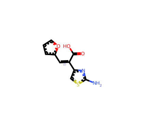 Nc1nc(/C(=C/c2ccco2)C(=O)O)cs1